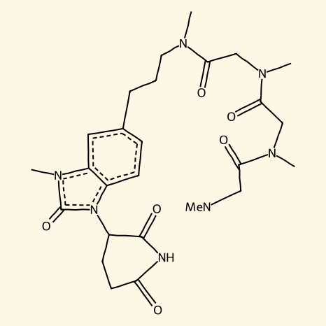 CNCC(=O)N(C)CC(=O)N(C)CC(=O)N(C)CCCc1ccc2c(c1)n(C)c(=O)n2C1CCC(=O)NC1=O